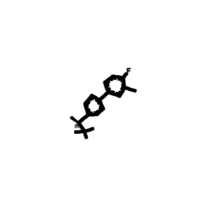 Cc1cc(-c2ccc([C@H](C)C(C)(C)C)cc2)ccc1F